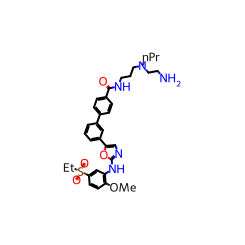 CCCN(CCN)CCCNC(=O)c1ccc(-c2cccc(-c3cnc(Nc4cc(S(=O)(=O)CC)ccc4OC)o3)c2)cc1